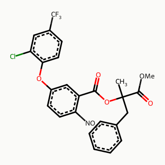 COC(=O)C(C)(Cc1ccccc1)OC(=O)c1cc(Oc2ccc(C(F)(F)F)cc2Cl)ccc1[N+](=O)[O-]